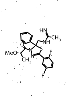 CO[C@@H](C)C(=O)N1N=C(c2cc(F)ccc2F)SC1(CNC(C)=N)c1ccccc1